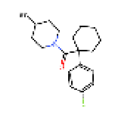 CC(C)C1CCN(C(=O)C2(c3ccc(F)cc3)CCCCC2)CC1